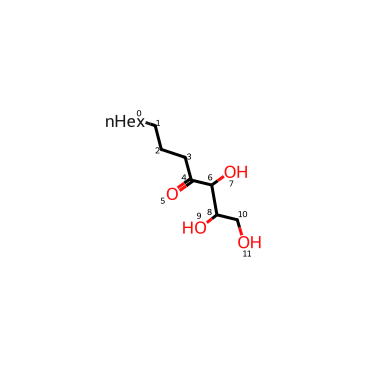 CCCCCCCCCC(=O)C(O)C(O)CO